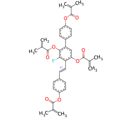 C=C(C)C(=O)Oc1ccc(/C=C/c2c(OC(=O)C(=C)C)cc(-c3ccc(OC(=O)C(=C)C)cc3)c(OC(=O)C(=C)C)c2F)cc1